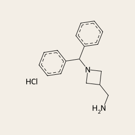 Cl.NCC1CN(C(c2ccccc2)c2ccccc2)C1